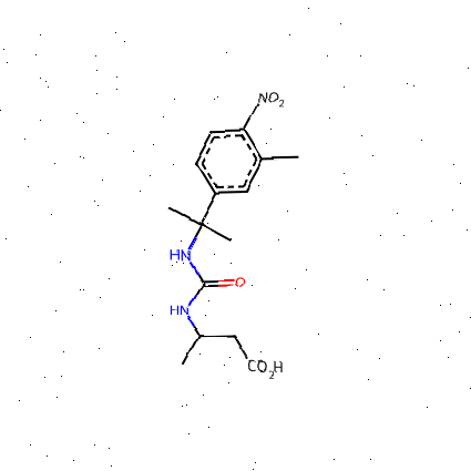 Cc1cc(C(C)(C)NC(=O)NC(C)CC(=O)O)ccc1[N+](=O)[O-]